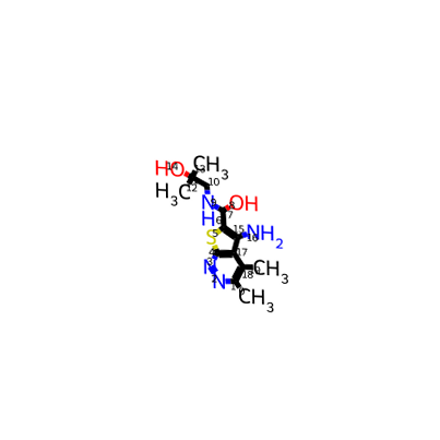 Cc1nnc2sc(C(O)NCC(C)(C)O)c(N)c2c1C